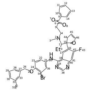 CCC(N(C)CCS(=O)(=O)c1ccccc1)C1(c2cc3c(Nc4ccc(OCc5cccc(F)c5)c(Br)c4)ncnc3cc2F)CC=CO1